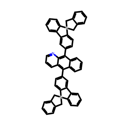 c1ccc2c(c1)C[Si]1(C2)c2ccccc2-c2cc(-c3c4ccccc4c(-c4ccc5c(c4)-c4ccccc4[Si]54Cc5ccccc5C4)c4ncccc34)ccc21